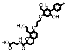 CCCc1c(OCCCOc2cc(O)c(-c3ccc(F)cc3)cc2CC)ccc2c1OC(C(=O)NCCC(=O)O)CC2